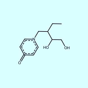 CCC(Cn1ccc(=O)cc1)C(O)CO